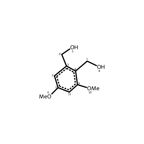 COc1cc(CO)c(CO)c(OC)c1